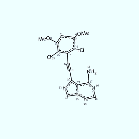 COc1cc(OC)c(Cl)c(C#Cc2ncn3ncnc(N)c23)c1Cl